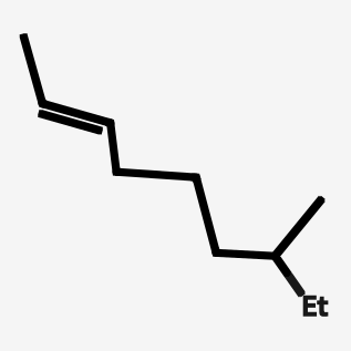 [CH2]CC(C)CCCC=CC